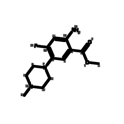 COC(=O)c1cc(N2CCN(C)CC2)c(F)cc1N